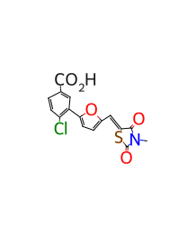 CN1C(=O)S/C(=C\c2ccc(-c3cc(C(=O)O)ccc3Cl)o2)C1=O